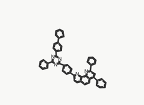 c1ccc(-c2ccc(-c3nc(-c4ccccc4)nc(-c4ccc(-c5ccc6ccc7c(-c8ccccc8)cc(-c8ccccc8)nc7c6n5)cc4)n3)cc2)cc1